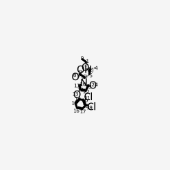 CCO[C@H](C)C[C@@H](C(=O)O)N1CC(Oc2cccc(Cl)c2Cl)=CC1=O